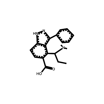 CCC(c1c(C(=O)O)ccc2[nH]nc(-c3ccccc3)c12)N(C)C